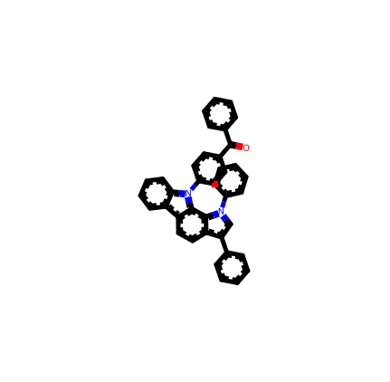 O=C(c1ccccc1)c1ccc(-n2c3ccccc3c3ccc4c(-c5ccccc5)cn(-c5ccccc5)c4c32)cc1